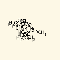 C/C=C/C1=CN2C(=O)c3cc(OC)c(O[Si](C(C)C)(C(C)C)C(C)C)cc3N(C(=O)O)C(O[Si](C)(C)C(C)(C)C)C2C1